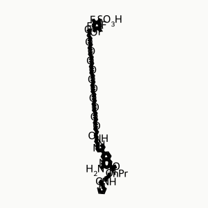 CCCN(OCCNC(=O)N1CCCC1)C(=O)C1=Cc2ccc(-c3cnc(CNC(=O)CCOCCOCCOCCOCCOCCOCCOCCOCCOCCOCCC(=O)Oc4c(F)c(F)c(S(=O)(=O)O)c(F)c4F)nc3)cc2N=C(N)C1